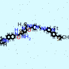 CCn1c2ccc(CNCCN3CCC(C(=O)NC(C)c4ccc5c(N)c(C(=O)N[C@H]6CCc7cc(N8C[C@H]9CC[C@@H](C8)N9)ccc7C6)sc5n4)CC3)cc2c2ccc(-c3cc(C)cs3)cc21